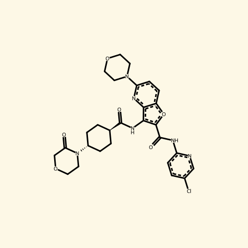 O=C(Nc1ccc(Cl)cn1)c1oc2ccc(N3CCOCC3)nc2c1NC(=O)[C@H]1CC[C@H](N2CCOCC2=O)CC1